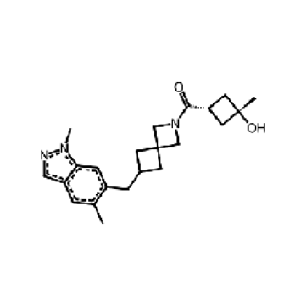 Cc1cc2cnn(C)c2cc1CC1CC2(C1)CN(C(=O)[C@H]1C[C@@](C)(O)C1)C2